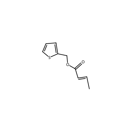 CC=CC(=O)OCc1cccs1